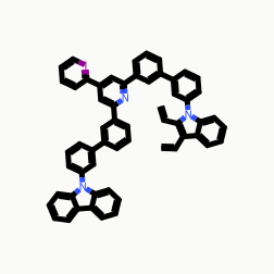 C=Cc1c(C=C)n(-c2cccc(-c3cccc(-c4cc(C5=IC=CC=C5)cc(-c5cccc(-c6cccc(-n7c8ccccc8c8ccccc87)c6)c5)n4)c3)c2)c2ccccc12